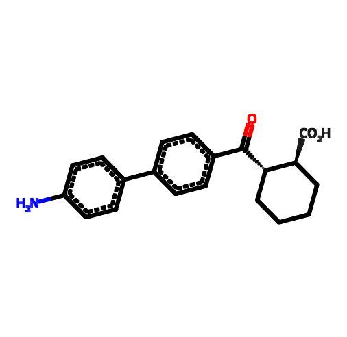 Nc1ccc(-c2ccc(C(=O)[C@H]3CCCC[C@@H]3C(=O)O)cc2)cc1